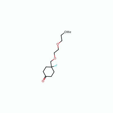 COCCOCCOCC1(F)CCC(=O)CC1